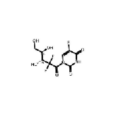 O=C(n1cc(F)c(=O)[nH]c1=O)C(F)(F)[C@H](O)[C@H](O)CO